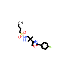 CC(C)(CNS(=O)(=O)CCCC#N)c1coc(-c2ccc(F)cc2)n1